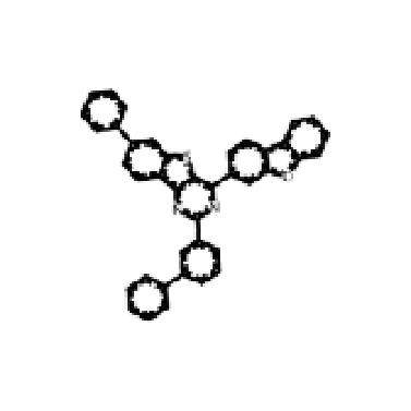 c1ccc(-c2cccc(-c3nc(-c4ccc5c(c4)oc4ccccc45)c4sc5cc(-c6ccccc6)ccc5c4n3)c2)cc1